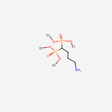 CCOP(=O)(OCC)C(CCCN)P(=O)(OCC)OCC